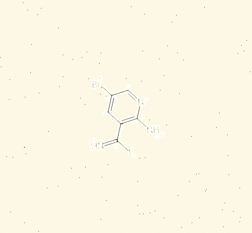 N=C(I)c1cc(Br)cnc1N